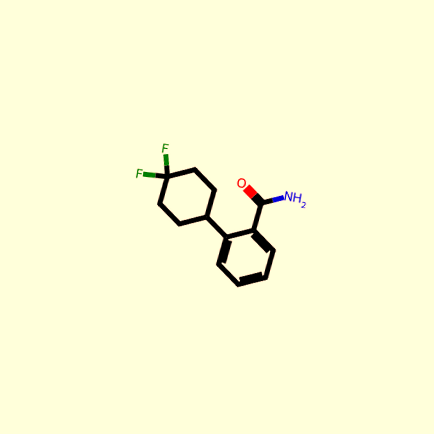 NC(=O)c1ccccc1C1CCC(F)(F)CC1